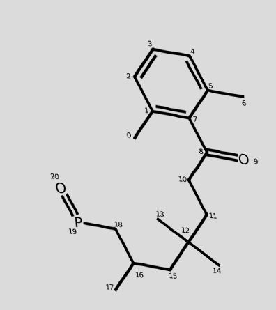 Cc1cccc(C)c1C(=O)CCC(C)(C)CC(C)CP=O